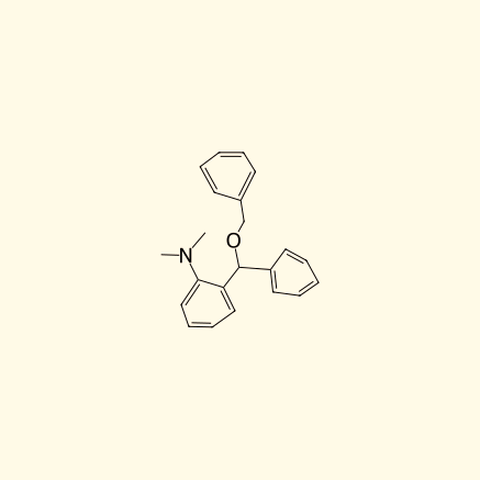 CN(C)c1ccccc1C(OCc1ccccc1)c1ccccc1